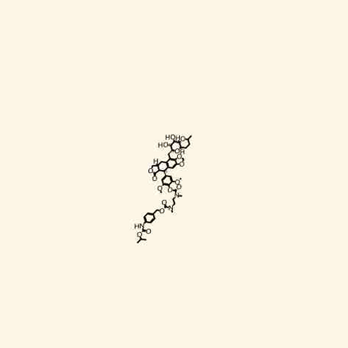 COc1cc([C@@H]2c3cc4c(c(C[C@@H]5O[C@@H]6CCC(C)O[C@H]6[C@H](O)[C@H]5O)c3C[C@H]3COC(=O)C32)OCO4)cc(OC)c1OC(=O)N(C)CCN(C)C(=O)OCc1ccc(NC(=O)OC(C)C)cc1